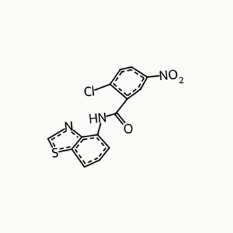 O=C(Nc1cccc2scnc12)c1cc([N+](=O)[O-])ccc1Cl